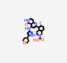 O=C(O)N1CCc2c(ccc(F)c2-c2cc(Nc3cc(C4CCOCC4)[nH]n3)c3c(=O)[nH]ccc3n2)C1